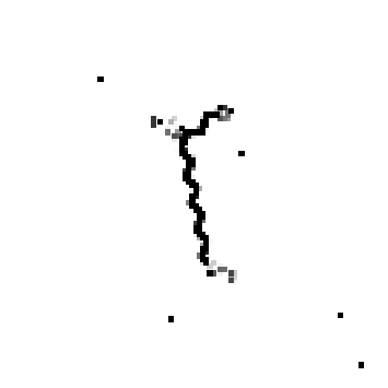 CCCCCCCCCC[C@@H](C)CCBr